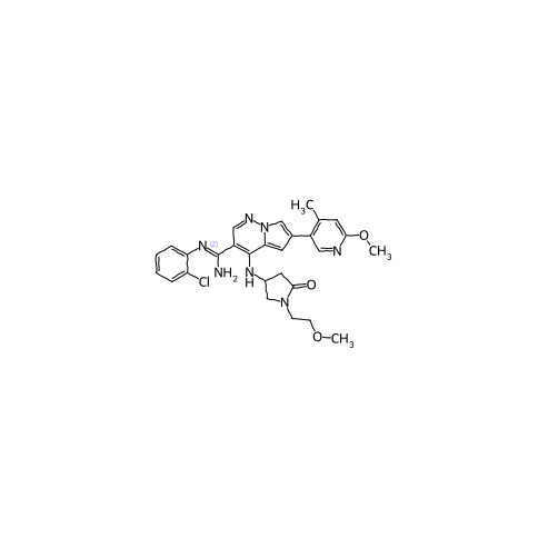 COCCN1CC(Nc2c(/C(N)=N/c3ccccc3Cl)cnn3cc(-c4cnc(OC)cc4C)cc23)CC1=O